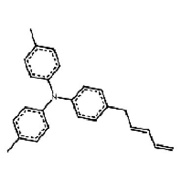 C=C/C=C/Cc1ccc(N(c2ccc(C)cc2)c2ccc(C)cc2)cc1